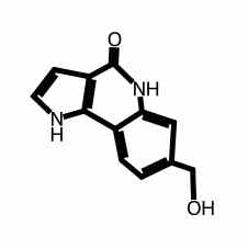 O=c1[nH]c2cc(CO)ccc2c2[nH]ccc12